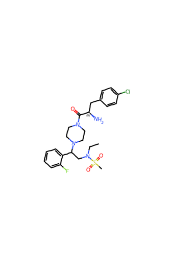 CCN(CC(c1ccccc1F)N1CCN(C(=O)[C@H](N)Cc2ccc(Cl)cc2)CC1)S(C)(=O)=O